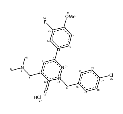 COc1ccc(-c2cc(CN(C)C)c(=O)n(Cc3ccc(Cl)cc3)n2)cc1F.Cl